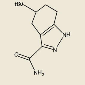 CC(C)(C)C1CCc2[nH]nc(C(N)=O)c2C1